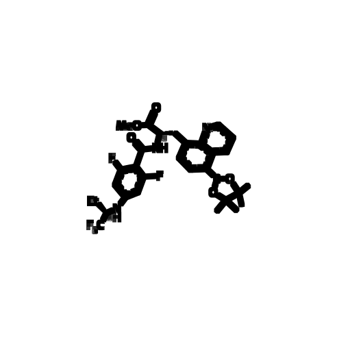 CC[C@@H](Nc1cc(F)c(C(=O)N[C@@H](Cc2ccc(B3OC(C)(C)C(C)(C)O3)c3cccnc23)C(=O)OC)c(F)c1)C(F)(F)F